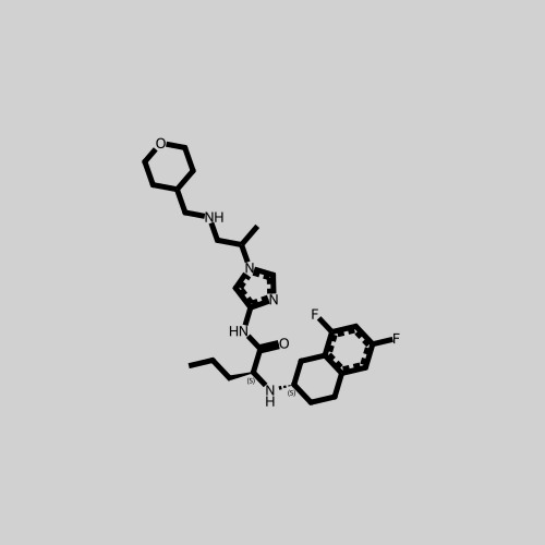 CCC[C@H](N[C@H]1CCc2cc(F)cc(F)c2C1)C(=O)Nc1cn(C(C)CNCC2CCOCC2)cn1